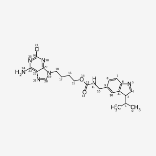 CC(C)C1C=Nc2ccc(CNC(=O)OCCCCn3cnc4c(N)nc(Cl)nc43)cc21